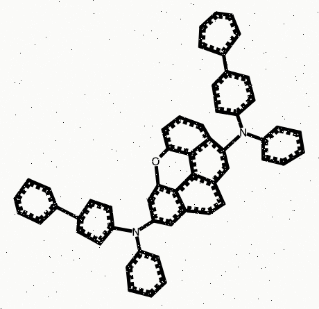 c1ccc(-c2ccc(N(c3ccccc3)c3cc4c5c(ccc6cc(N(c7ccccc7)c7ccc(-c8ccccc8)cc7)c7cccc(c7c65)O4)c3)cc2)cc1